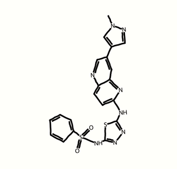 Cn1cc(-c2cnc3ccc(Nc4nnc(NS(=O)(=O)c5ccccc5)s4)nc3c2)cn1